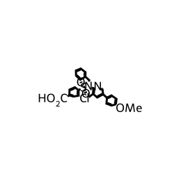 COc1ccc(-c2cnc(N(Cc3ccccc3)S(=O)(=O)c3ccc(C(=O)O)cc3)c(Cl)c2)cc1